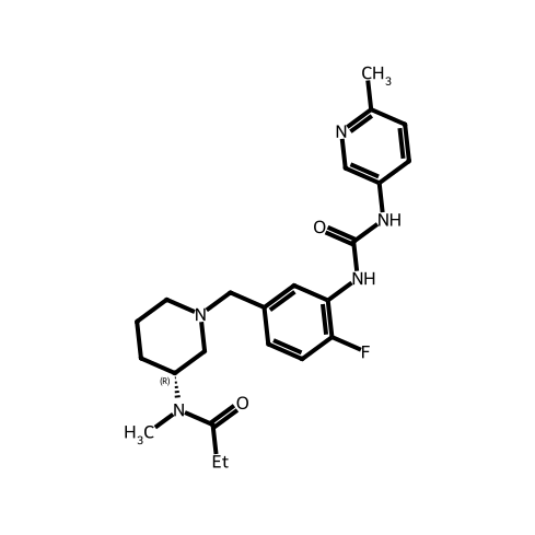 CCC(=O)N(C)[C@@H]1CCCN(Cc2ccc(F)c(NC(=O)Nc3ccc(C)nc3)c2)C1